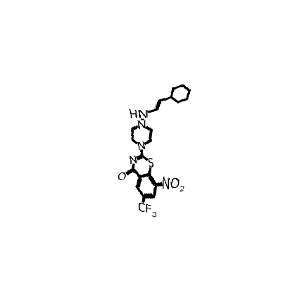 O=c1nc(N2CCN(NCCC3CCCCC3)CC2)sc2c([N+](=O)[O-])cc(C(F)(F)F)cc12